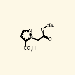 CC(C)(C)OC(=O)Cn1nccc1C(=O)O